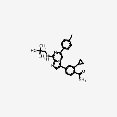 CC(C)(O)CNc1nc(-c2ccc(F)cc2)cn2c(-c3ccc(C(N)=O)c(C4CC4)c3)cnc12